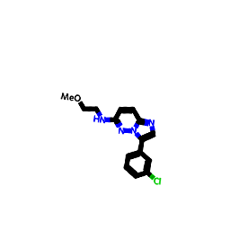 COCCNc1ccc2ncc(-c3cccc(Cl)c3)n2n1